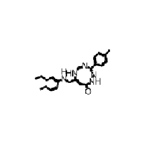 CC/C=C\C(=C/CCC)NCc1cc(=O)[nH]nc(-c2ccc(C)cc2)nc[nH]1